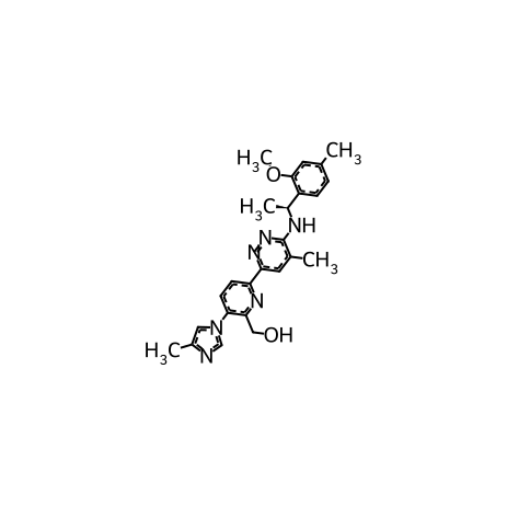 COc1cc(C)ccc1[C@H](C)Nc1nnc(-c2ccc(-n3cnc(C)c3)c(CO)n2)cc1C